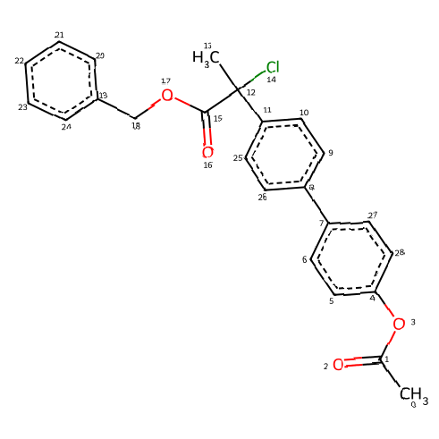 CC(=O)Oc1ccc(-c2ccc(C(C)(Cl)C(=O)OCc3ccccc3)cc2)cc1